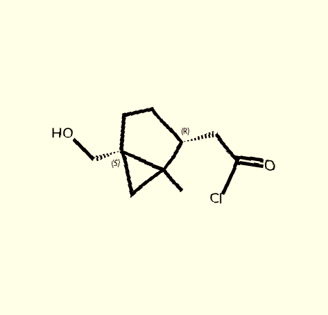 CC12C[C@@]1(CO)CC[C@@H]2CC(=O)Cl